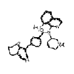 Cc1cccc2ccnc(N(C(=O)c3ccc(-c4cncc5c4OCCC5)cc3)[C@@H]3CCCNC3)c12